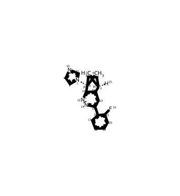 CC1(C)[C@H]2CC[C@]1(n1ccnc1)c1nnc(-c3ccccc3F)cc12